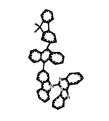 CC1(C)c2ccccc2-c2ccc(-c3c4ccccc4c(-c4ccc5c6ccccc6n(-c6nc7ccccc7c7nc8ccccc8n67)c5c4)c4ccccc34)cc21